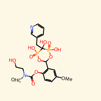 COc1ccc(OC(=O)N(C=O)CCO)c(C2OP(=O)(O)C(O)(Cc3cccnc3)P(=O)(O)O2)c1